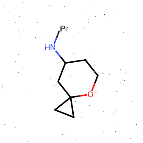 CC(C)NC1CCOC2(CC2)C1